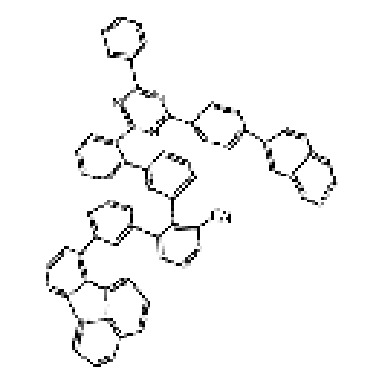 N#Cc1cccc(-c2cccc(-c3cccc4c3-c3cccc5cccc-4c35)c2)c1-c1cccc(-c2ccccc2-c2nc(-c3ccccc3)nc(-c3ccc(-c4ccc5ccccc5c4)cc3)n2)c1